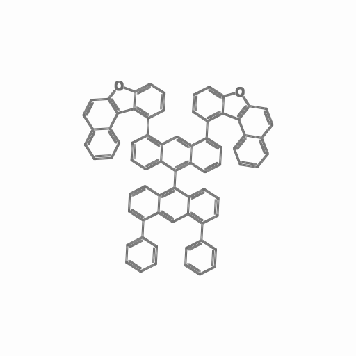 c1ccc(-c2cccc3c(-c4c5cccc(-c6cccc7oc8ccc9ccccc9c8c67)c5cc5c(-c6cccc7oc8ccc9ccccc9c8c67)cccc45)c4cccc(-c5ccccc5)c4cc23)cc1